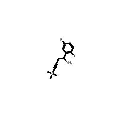 C[Si](C)(C)C#CCC(N)c1cc(F)ccc1F